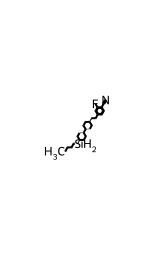 CCCCC[SiH2][C@H]1CC[C@H]([C@H]2CC[C@H](CCc3ccc(C#N)c(F)c3)CC2)CC1